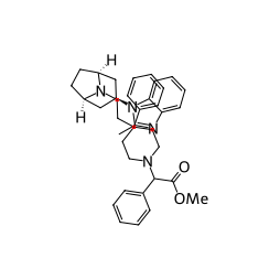 COC(=O)C(c1ccccc1)N1CCC(CCN2[C@@H]3CC[C@H]2C[C@@H](n2c(C)nc4ccccc42)C3)(c2ccccc2)CC1